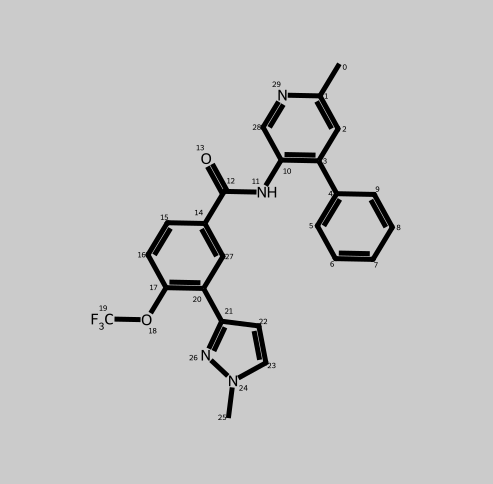 Cc1cc(-c2ccccc2)c(NC(=O)c2ccc(OC(F)(F)F)c(-c3ccn(C)n3)c2)cn1